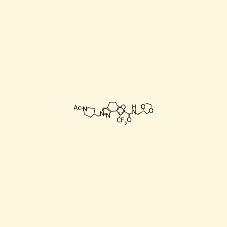 CC(=O)N1CCC(Cn2cc3c(n2)-c2c(oc(C(=O)NC[C@@H]4COCCO4)c2C(F)(F)F)CC3)CC1